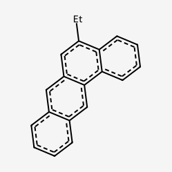 CCc1cc2cc3ccccc3cc2c2ccccc12